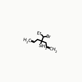 C=CCC([SiH3])(CC=C)C(Br)CC